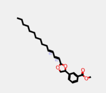 CCCCCCCCCC/C=C/C=C/C1OCC(c2cccc(C(=O)OC)c2)O1